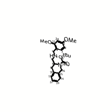 COc1ccc(CNCC2Cc3ccccc3CN2C(=O)OC(C)(C)C)c(OC)c1